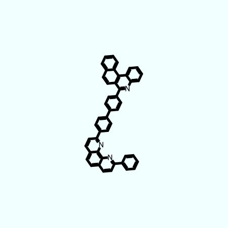 c1ccc(-c2ccc3ccc4ccc(-c5ccc(-c6ccc(-c7nc8ccccc8c8c7ccc7ccccc78)cc6)cc5)nc4c3n2)cc1